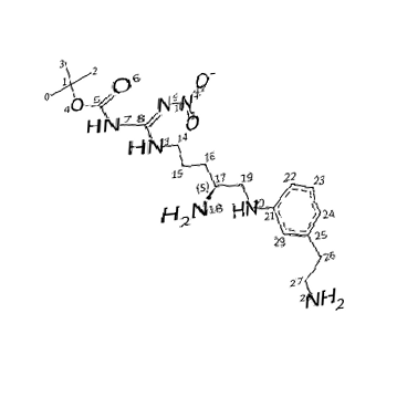 CC(C)(C)OC(=O)NC(=N[N+](=O)[O-])NCCC[C@H](N)CNc1cccc(CCN)c1